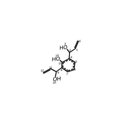 C=CC(O)c1cccc(C(O)C=C)c1O